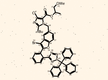 CCCCc1nc(Cl)c(C(=O)OC(C)COC)n1Cc1ccc2oc(-c3ccccc3-c3nnn(C(c4ccccc4)(c4ccccc4)c4ccccc4)n3)c(Br)c2c1